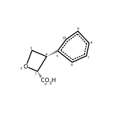 O=C(O)[C@@H]1OC[C@@H]1c1ccccc1